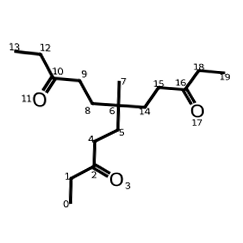 CCC(=O)CCC(C)(CCC(=O)CC)CCC(=O)CC